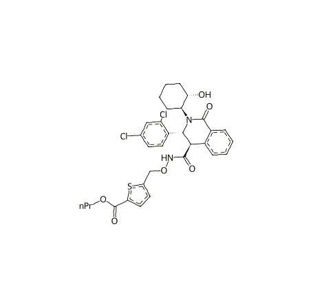 CCCOC(=O)c1ccc(CONC(=O)[C@@H]2c3ccccc3C(=O)N([C@H]3CCCC[C@@H]3O)[C@H]2c2ccc(Cl)cc2Cl)s1